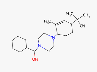 CC1=CC(C(C)(C)C#N)CCC1N1CCN(C(O)C2CCCCC2)CC1